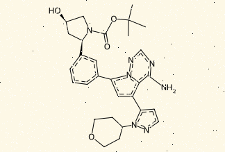 CC(C)(C)OC(=O)N1C[C@H](O)C[C@@H]1c1cccc(-c2cc(-c3ccnn3C3CCOCC3)c3c(N)ncnn23)c1